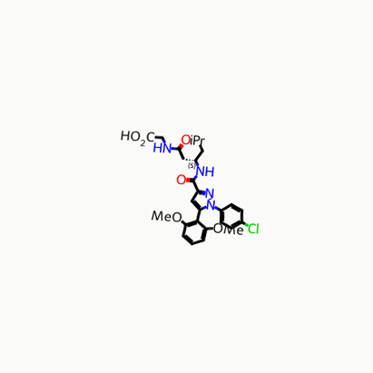 COc1cccc(OC)c1-c1cc(C(=O)N[C@H](CC(=O)NCC(=O)O)CC(C)C)nn1-c1ccc(Cl)cc1